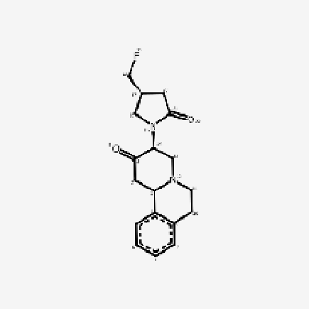 O=C1CC2c3ccccc3CCN2C[C@@H]1N1C[C@@H](CF)CC1=O